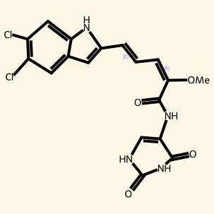 CO/C(=C/C=C/c1cc2cc(Cl)c(Cl)cc2[nH]1)C(=O)Nc1c[nH]c(=O)[nH]c1=O